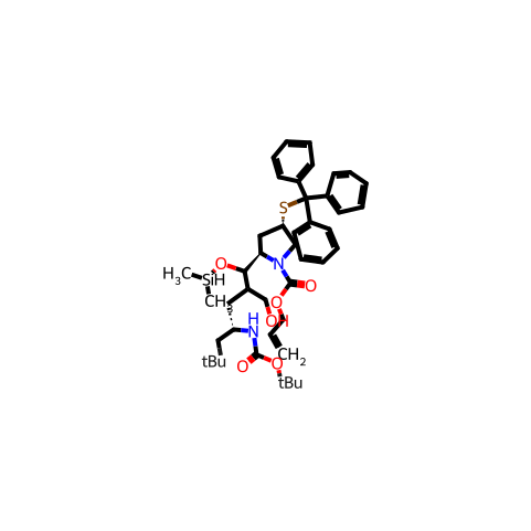 C=CCOC(=O)N1C[C@@H](SC(c2ccccc2)(c2ccccc2)c2ccccc2)C[C@@H]1C(O[SiH](C)C)C(CO)C[C@@H](CC(C)(C)C)NC(=O)OC(C)(C)C